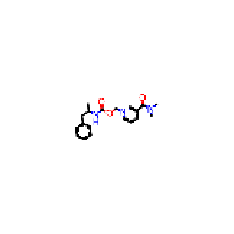 CC(Cc1ccccc1)NC(=O)OC[n+]1cccc(C(=O)N(C)C)c1